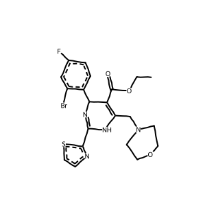 CCOC(=O)C1=C(CN2CCOCC2)NC(c2nccs2)=NC1c1ccc(F)cc1Br